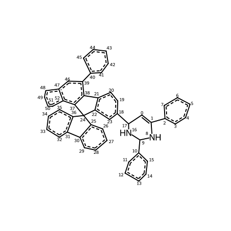 C1=C(c2ccccc2)NC(c2ccccc2)NC1c1ccc2c(c1)C1(c3ccccc3-c3ccccc31)c1c-2c(-c2ccccc2)cc2ccccc12